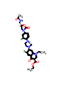 CCOC(=O)c1cn(CC)c2cc(N3CCN(c4ccc(N5C[C@H](CNC(C)=O)OC5=O)cc4F)CC3)c(F)cc2c1=O